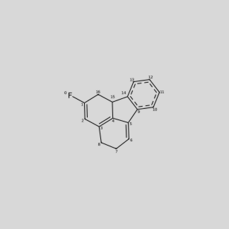 FC1=CC2=C3C(=CCC2)c2ccccc2C3C1